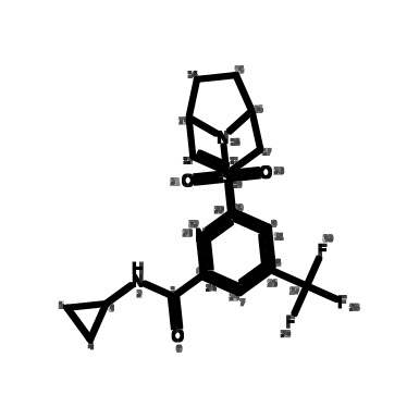 O=C(NC1CC1)c1cccc(C2=CC3CCC(C2)N3S(=O)(=O)c2cccc(C(F)(F)F)c2)n1